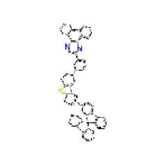 c1cc(-c2ccc3sc4ccc(-c5ccc6c(c5)C5(c7ccccc7-c7ccccc75)c5ccccc5-6)cc4c3c2)cc(-c2cnc3c4ccccc4c4ccccc4c3n2)c1